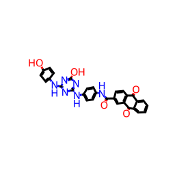 O=C(Nc1ccc(Nc2nc(O)nc(Nc3ccc(O)cc3)n2)cc1)c1ccc2c(c1)C(=O)c1ccccc1C2=O